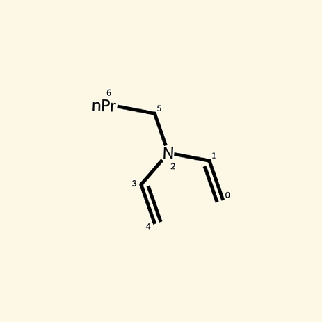 C=CN(C=C)CCCC